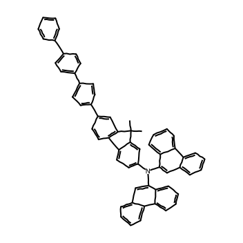 CC1(C)c2cc(-c3ccc(-c4ccc(-c5ccccc5)cc4)cc3)ccc2-c2ccc(N(c3cc4ccccc4c4ccccc34)c3cc4ccccc4c4ccccc34)cc21